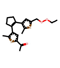 CCOOCc1cc(C2=C(c3cc(C(C)=O)sc3C)CCC2)c(C)s1